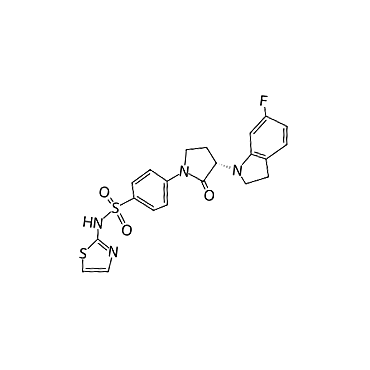 O=C1[C@@H](N2CCc3ccc(F)cc32)CCN1c1ccc(S(=O)(=O)Nc2nccs2)cc1